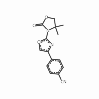 CC1(C)COC(=O)N1c1nc(-c2ccc(C#N)cc2)co1